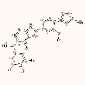 COc1cc(-c2nc3c(=O)n(C(C)c4cc(F)c(F)c(F)c4)ncc3[nH]2)ccc1-n1cnc(C)c1